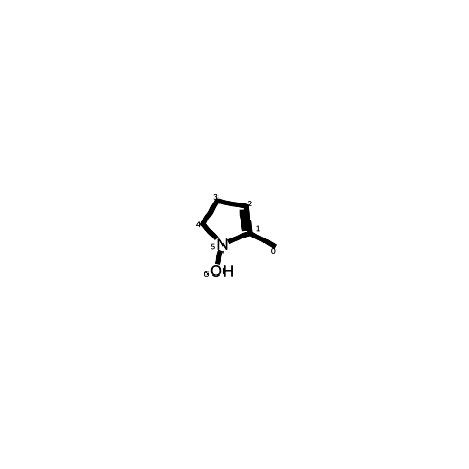 CC1=CCCN1O